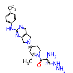 C[C@@H]1C[C@H](N2Cc3cnc(Nc4ccc(C(F)(F)F)cc4)nc3C2)CCN1C(=O)/C(N)=C/NN